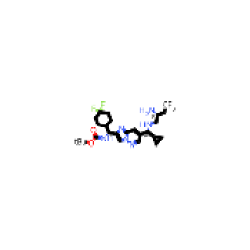 CC(C)(C)OC(=O)N[C@H](c1cn2ncc([C@H](NC[C@H](N)CC(F)(F)F)C3CC3)cc2n1)C1CCC(F)(F)CC1